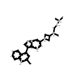 Cc1cc(-c2cnn3cc(N4CC(N(C)CCN(C)C)C4)cnc23)c2ccccc2n1